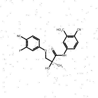 C[C@](O)(COc1ccc(C#N)c(F)c1)C(=O)Nc1ccc(C#N)c(C(=O)O)c1